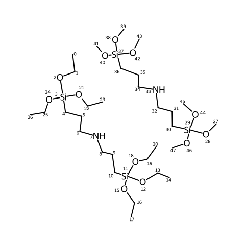 CCO[Si](CCCNCCC[Si](OCC)(OCC)OCC)(OCC)OCC.CO[Si](CCCNCCC[Si](OC)(OC)OC)(OC)OC